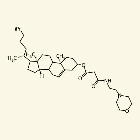 CC(C)CCC[C@@H](C)C1CC[C@H]2C3CC=C4C[C@@H](OC(=O)CC(=O)NCCN5CCOCC5)CC[C@]4(C)C3CC[C@]12C